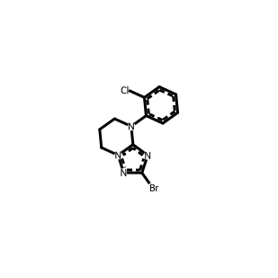 Clc1ccccc1N1CCCn2nc(Br)nc21